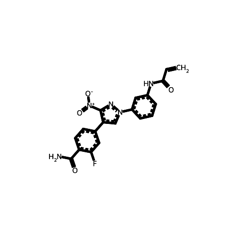 C=CC(=O)Nc1cccc(-n2cc(-c3ccc(C(N)=O)c(F)c3)c([N+](=O)[O-])n2)c1